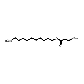 CCCCCCCCCCCCCCCCCCCCOC(=O)CCCCCCCCCCCC